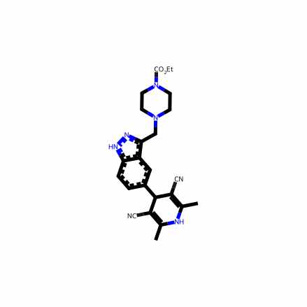 CCOC(=O)N1CCN(Cc2n[nH]c3ccc(C4C(C#N)=C(C)NC(C)=C4C#N)cc23)CC1